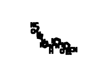 CC[C@]1(C#N)CCN(c2ccnc(Nc3cnn(C4CN(C(=O)CC#N)C4)c3)n2)C1=O